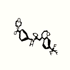 O=C(/C=C1\CCCOc2cc(C(F)(F)F)ccc21)Nc1ccc(C(=O)N2CCOCC2)cc1